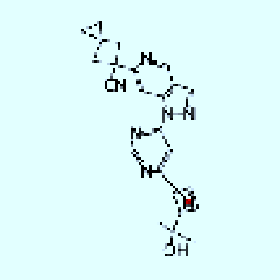 CC(C)(O)C12CC(C1)N(c1cc(-n3ncc4cnc(C5(C#N)CC6(CC6)C5)cc43)ncn1)C2